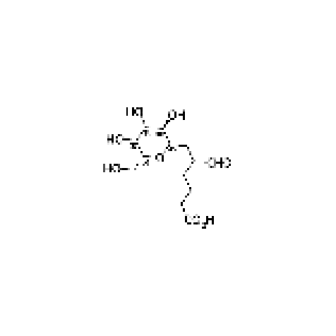 O=CC(CCCC(=O)O)C[C@H]1O[C@H](CO)[C@@H](O)[C@H](O)[C@H]1O